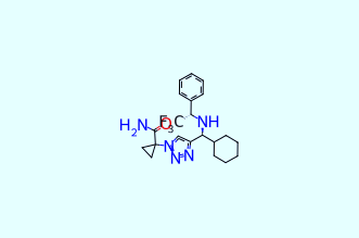 NC(=O)C1(n2cc([C@@H](N[C@@H](c3ccccc3)C(F)(F)F)C3CCCCC3)nn2)CC1